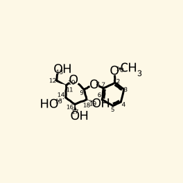 COc1ccccc1OC1O[C@H](CO)[C@@H](O)[C@H](O)[C@H]1O